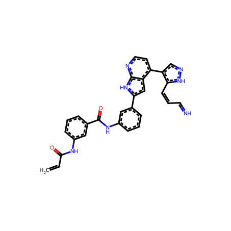 C=CC(=O)Nc1cccc(C(=O)Nc2cccc(-c3cc4c(-c5cn[nH]c5/C=C\C=N)ccnc4[nH]3)c2)c1